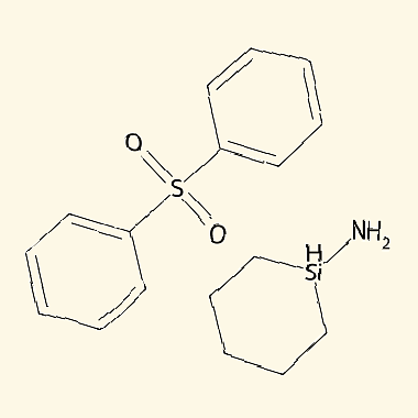 N[SiH]1CCCCC1.O=S(=O)(c1ccccc1)c1ccccc1